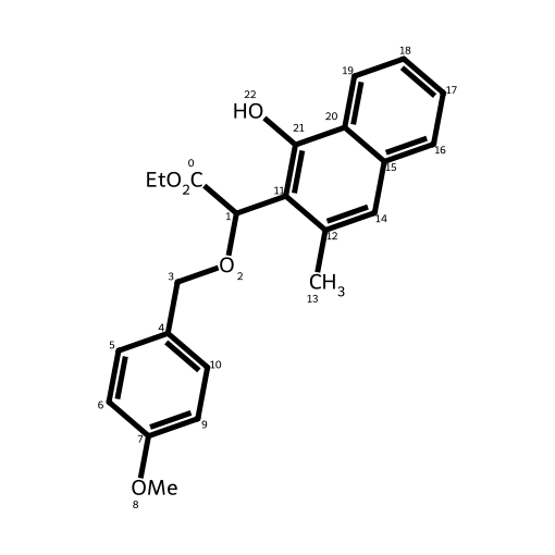 CCOC(=O)C(OCc1ccc(OC)cc1)c1c(C)cc2ccccc2c1O